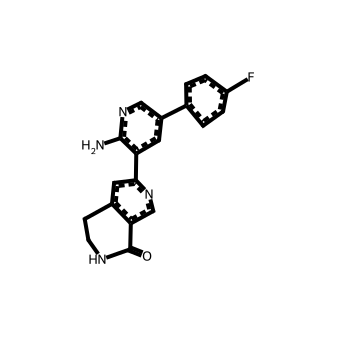 Nc1ncc(-c2ccc(F)cc2)cc1-c1cc2c(cn1)C(=O)NCC2